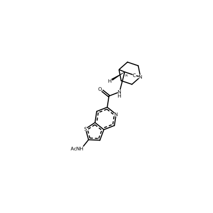 CC(=O)Nc1cc2cnc(C(=O)N[C@H]3CN4CCC3CC4)cc2s1